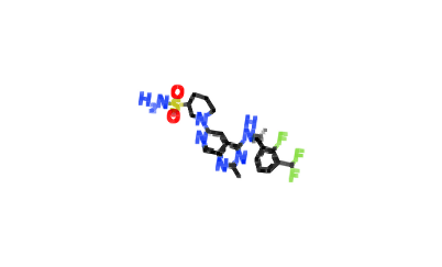 Cc1nc(N[C@H](C)c2cccc(C(F)F)c2F)c2cc(N3CCCC(S(N)(=O)=O)C3)ncc2n1